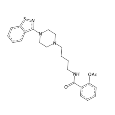 CC(=O)Oc1ccccc1C(=O)NCCCCN1CCN(c2nsc3ccccc23)CC1